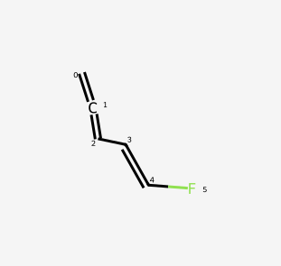 C=C=CC=CF